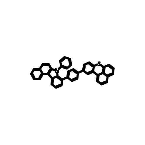 c1ccc(-n2c3ccc4ccccc4c3c3cccc(-c4ccc(-c5ccc6c(c5)-c5cccc7cccc(c57)S6)cc4)c32)cc1